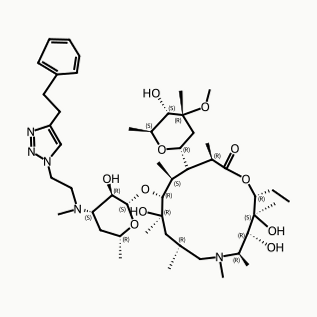 CC[C@H]1OC(=O)[C@H](C)C([C@H]2C[C@@](C)(OC)[C@@H](O)[C@H](C)O2)[C@H](C)[C@@H](O[C@@H]2O[C@H](C)C[C@H](N(C)CCn3cc(CCc4ccccc4)nn3)[C@H]2O)[C@](C)(O)C[C@@H](C)CN(C)[C@H](C)[C@@H](O)[C@]1(C)O